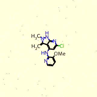 C=C1c2c(Nc3ncccc3OC)cc(Cl)nc2NN1C